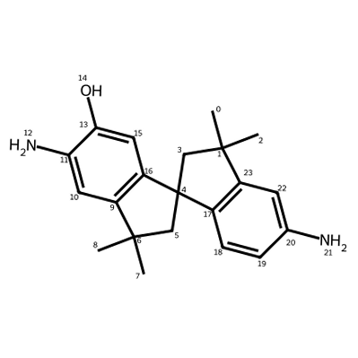 CC1(C)CC2(CC(C)(C)c3cc(N)c(O)cc32)c2ccc(N)cc21